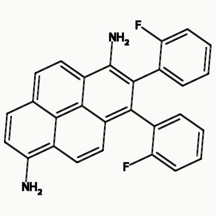 Nc1ccc2ccc3c(N)c(-c4ccccc4F)c(-c4ccccc4F)c4ccc1c2c34